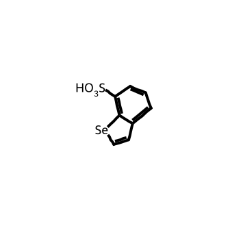 O=S(=O)(O)c1cccc2cc[se]c12